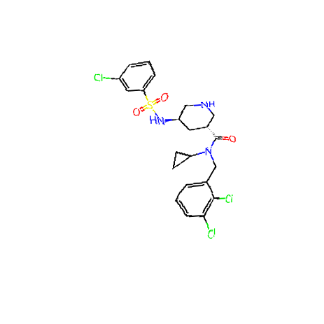 O=C([C@H]1CNC[C@H](NS(=O)(=O)c2cccc(Cl)c2)C1)N(Cc1cccc(Cl)c1Cl)C1CC1